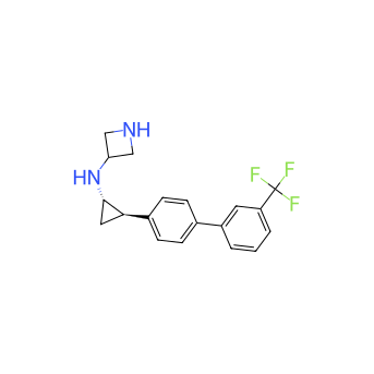 FC(F)(F)c1cccc(-c2ccc([C@H]3C[C@@H]3NC3CNC3)cc2)c1